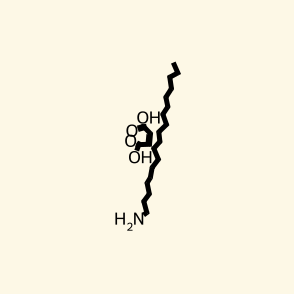 CCCCCCCCCCCCCCCCCCN.O=C(O)/C=C\C(=O)O